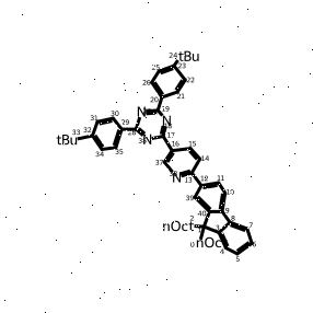 CCCCCCCCC1(CCCCCCCC)c2ccccc2-c2ccc(-c3ccc(-c4nc(-c5ccc(C(C)(C)C)cc5)nc(-c5ccc(C(C)(C)C)cc5)n4)cn3)cc21